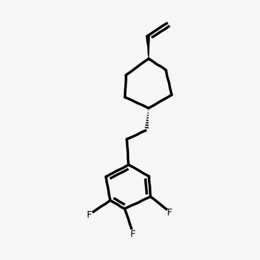 C=C[C@H]1CC[C@H](CCc2cc(F)c(F)c(F)c2)CC1